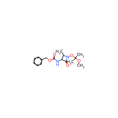 COC(C)(C)ON1C(=O)C(NC(=O)OCc2ccccc2)C1C